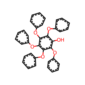 Oc1c(Oc2ccccc2)c(Oc2ccccc2)c(Oc2ccccc2)c(Oc2ccccc2)c1Oc1ccccc1